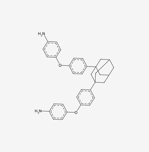 Nc1ccc(Oc2ccc(C34CC5CC(C3)CC(c3ccc(Oc6ccc(N)cc6)cc3)(C5)C4)cc2)cc1